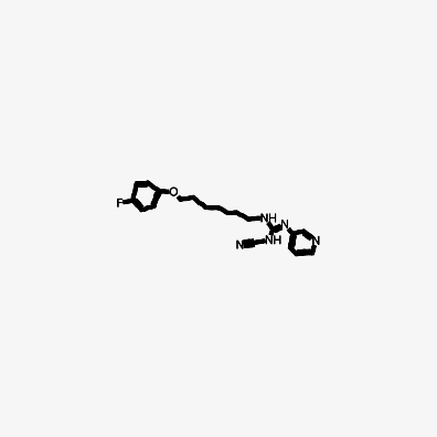 N#CN/C(=N\c1cccnc1)NCCCCCCCOc1ccc(F)cc1